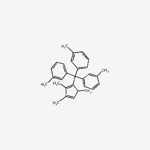 CC1=CC(C)C(C(c2cccc(C)c2)(c2cccc(C)c2)c2cccc(C)c2)=C1C